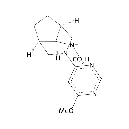 COc1cc(N2C[C@H]3CC[C@@H](C2)[C@H]3NC(=O)O)ncn1